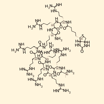 C[C@@H](N)C(=O)N[C@@H](CCCNC(=N)N)C(=O)N[C@@H](CCCNC(=N)N)C(=O)N[C@@H](CCCNC(=N)N)C(=O)N[C@@H](CCCNC(=N)N)C(=O)N[C@@H](CCCNC(=N)N)C(=O)N[C@@H](CCCNC(=N)N)C(=O)NCCCC[C@H](NC(=O)[C@H](CCCNC(=N)N)NC(=O)[C@H](CCCNC(=N)N)NC(=O)CCCC[C@@H]1SC[C@@H]2NC(=O)N[C@@H]21)C(N)=O